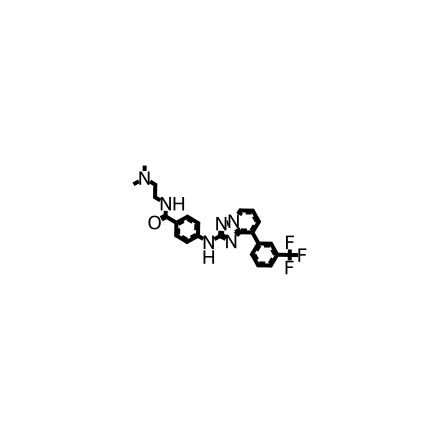 CN(C)CCNC(=O)c1ccc(Nc2nc3c(-c4cccc(C(F)(F)F)c4)cccn3n2)cc1